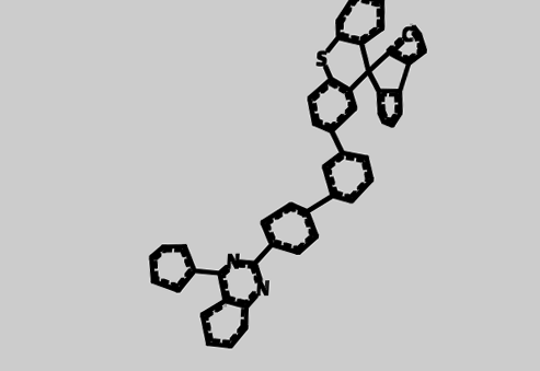 c1ccc(-c2nc(-c3ccc(-c4cccc(-c5ccc6c(c5)C5(c7ccccc7S6)c6ccccc6-c6ccccc65)c4)cc3)nc3ccccc23)cc1